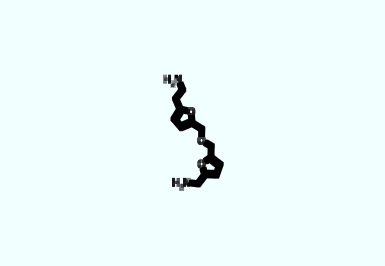 NCCc1ccc(COCc2ccc(CN)o2)o1